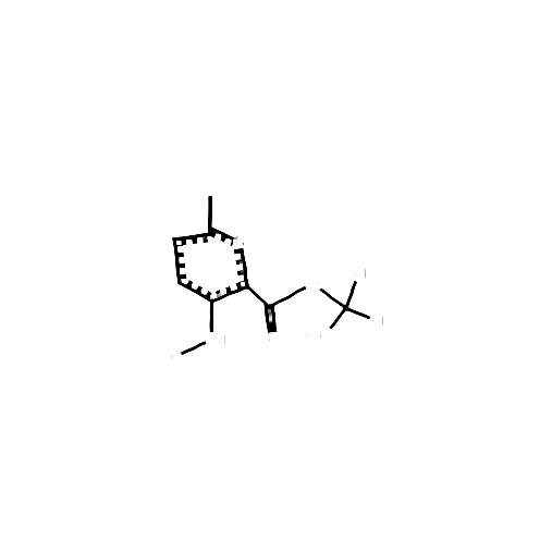 CBc1ccc(F)nc1C(=O)OC(C)(C)C